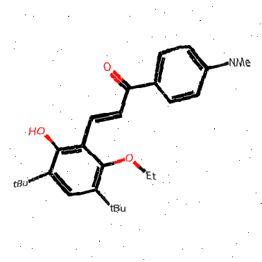 CCOc1c(C(C)(C)C)cc(C(C)(C)C)c(O)c1C=CC(=O)c1ccc(NC)cc1